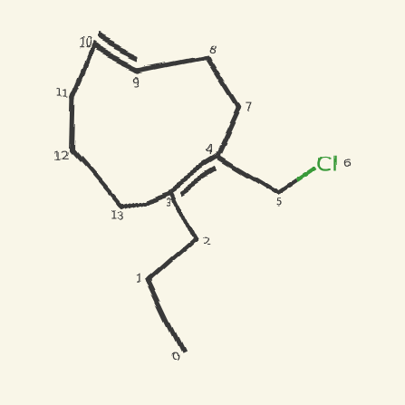 CCC/C1=C(\CCl)CC/C=C/CCC1